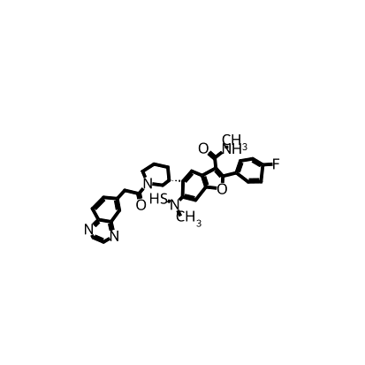 CNC(=O)c1c(-c2ccc(F)cc2)oc2cc(N(C)S)c([C@H]3CCCN(C(=O)Cc4ccc5nccnc5c4)C3)cc12